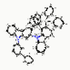 c1ccc(-c2cccc(-n3c4ccccc4c4ccc(-n5c6ccccc6c6ccc([Si](c7ccccc7)(c7ccccc7)c7ccccc7)c(-c7ccccc7)c65)cc43)c2)cc1